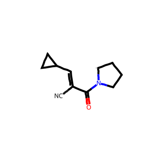 N#CC(=CC1CC1)C(=O)N1[CH]CCC1